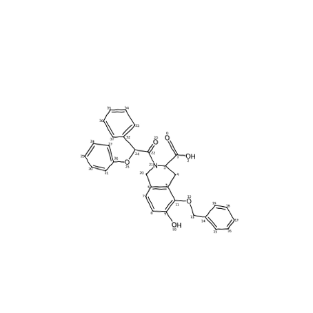 O=C(O)C1Cc2c(ccc(O)c2OCc2ccccc2)CN1C(=O)C(Oc1ccccc1)c1ccccc1